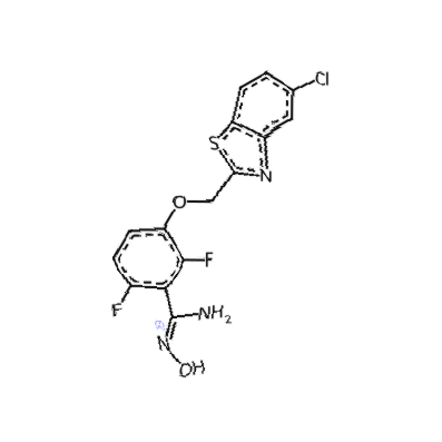 N/C(=N\O)c1c(F)ccc(OCc2nc3cc(Cl)ccc3s2)c1F